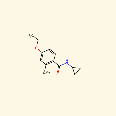 COc1cc(OCC(F)(F)F)ccc1C(=O)NC1CC1